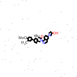 COc1ccc(-c2ccc(CN(C(=O)CC(C)(C)C)c3nccc4cc(N5CCC(O)C5)ccc34)cc2)cc1C